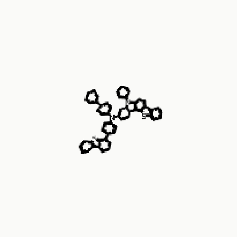 C1=CC2c3c(ccc4c3sc3ccccc34)N(c3ccccc3)C2C=C1N(c1ccc(-c2ccccc2)cc1)c1ccc(-c2cccc3c2sc2ccccc23)cc1